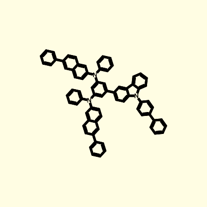 c1ccc(-c2ccc(-n3c4ccccc4c4cc(-c5cc(N(c6ccccc6)c6ccc7cc(-c8ccccc8)ccc7c6)cc(N(c6ccccc6)c6ccc7cc(-c8ccccc8)ccc7c6)c5)ccc43)cc2)cc1